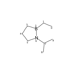 CCB1CCCN1C(C)C